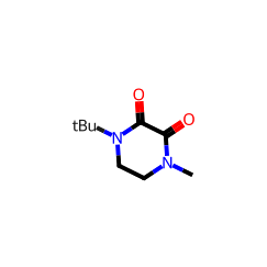 CN1CCN(C(C)(C)C)C(=O)C1=O